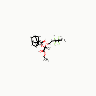 CCOC(=O)[C]([Cf])(OCCC(F)(F)C(C)(F)F)OC(=O)C12CC3CC(CC(C3)C1)C2